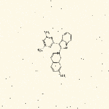 Cc1nc(N)nc(-c2c(N3C=Cc4ccc(N)cc4C3)nc3ccccn23)n1